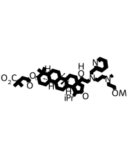 COCCN(C)CCN(Cc1ccccn1)CC(O)C12CC[C@]3(C)[C@H](CC[C@@H]4[C@@]5(C)CC[C@H](OC(=O)CC(C)(C)C(=O)O)C(C)(C)[C@H]5CC[C@]43C)C1=C(C(C)C)C(=O)C2